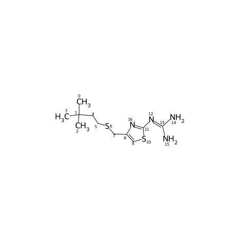 CC(C)(C)CCSCc1csc(N=C(N)N)n1